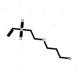 C=CS(=O)(=O)CCOCCCBr